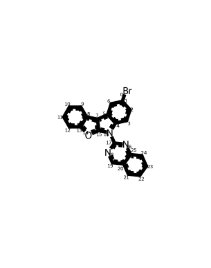 Brc1ccc2c(c1)c1c3ccccc3oc1n2-c1ncc2ccccc2n1